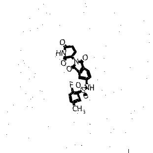 Cc1ccc(F)c(S(=O)(=O)Nc2ccc3c(c2)C(=O)N(C2CCC(=O)NC2=O)C3=O)c1